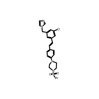 CC(C)S(=O)(=O)N1CCN(c2ccc(/C=C/c3cc(Cl)cc(Cn4ccnc4)c3)cc2)CC1